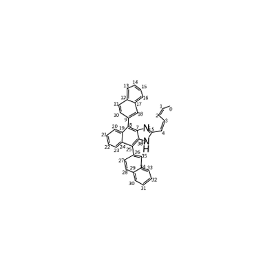 C/C=C\C=C/c1nc2c(-c3ccc4ccccc4c3)c3ccccc3c(-c3ccc4ccccc4c3)c2[nH]1